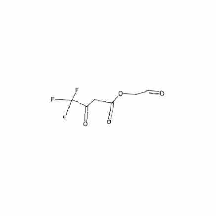 O=CCOC(=O)CC(=O)C(F)(F)F